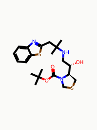 CC(C)(Cc1nc2ccccc2s1)NC[C@H](O)[C@H]1CSCN1C(=O)OC(C)(C)C